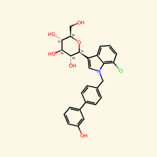 OC[C@H]1O[C@@H](c2cn(Cc3ccc(-c4cccc(O)c4)cc3)c3c(Cl)cccc23)[C@H](O)[C@@H](O)[C@@H]1O